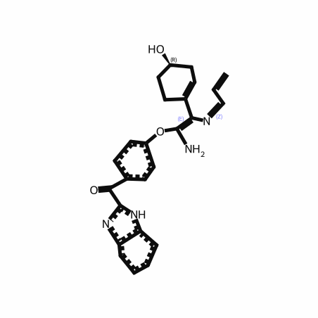 C=C/C=N\C(C1=CC[C@H](O)CC1)=C(/N)Oc1ccc(C(=O)c2nc3ccccc3[nH]2)cc1